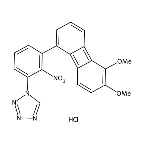 COc1ccc2c(c1OC)=c1cccc(-c3cccc(-n4cnnn4)c3[N+](=O)[O-])c1=2.Cl